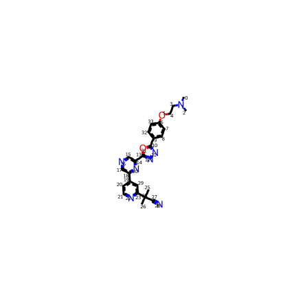 CN(C)CCOc1ccc(-c2nnc(-c3cncc(-c4ccnc(C(C)(C)C#N)c4)n3)o2)cc1